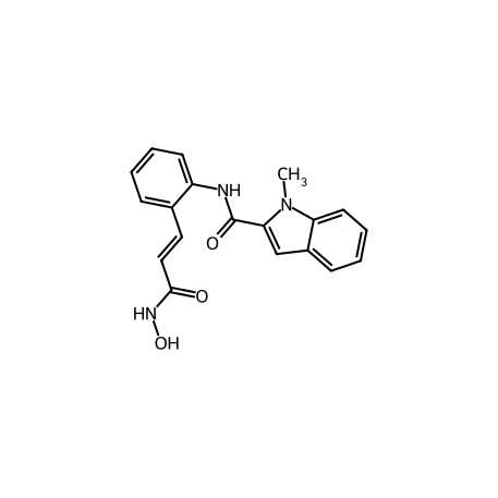 Cn1c(C(=O)Nc2ccccc2/C=C/C(=O)NO)cc2ccccc21